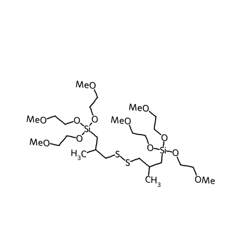 COCCO[Si](CC(C)CSSCC(C)C[Si](OCCOC)(OCCOC)OCCOC)(OCCOC)OCCOC